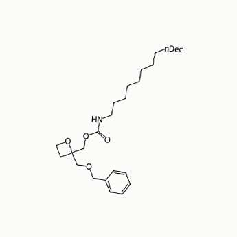 CCCCCCCCCCCCCCCCCCNC(=O)OCC1(COCc2ccccc2)CCO1